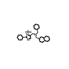 CCCCn1c(CN(Cc2ccccc2)Cc2ccc3ccccc3c2)cnc1-c1ccccc1